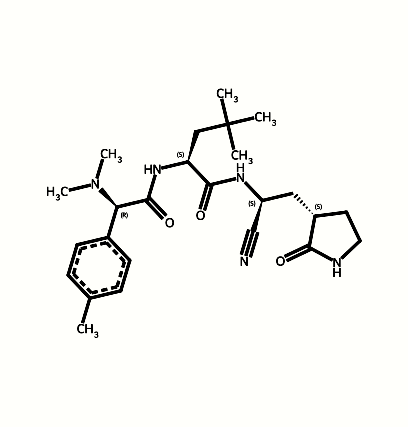 Cc1ccc([C@H](C(=O)N[C@@H](CC(C)(C)C)C(=O)N[C@H](C#N)C[C@@H]2CCNC2=O)N(C)C)cc1